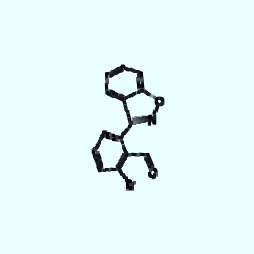 O=Cc1c(Br)cccc1-c1noc2ccccc12